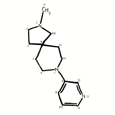 CN1CCC2(CCN(c3cccnc3)CC2)C1